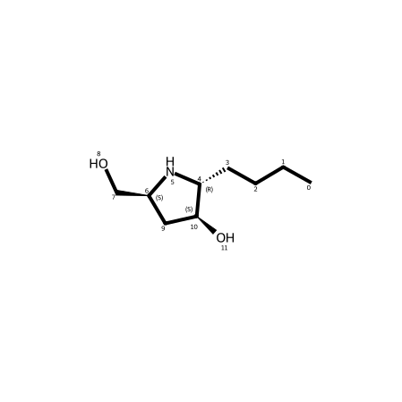 CCCC[C@H]1N[C@H](CO)C[C@@H]1O